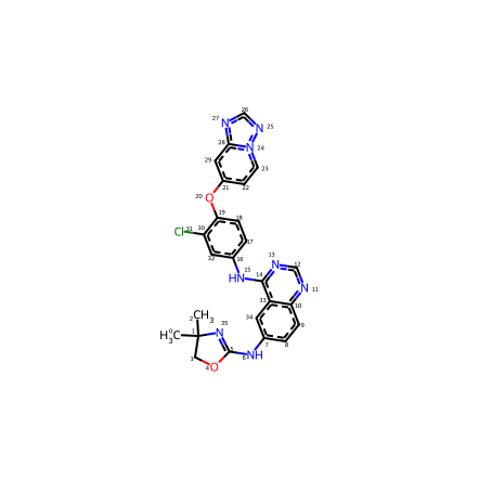 CC1(C)COC(Nc2ccc3ncnc(Nc4ccc(Oc5ccn6ncnc6c5)c(Cl)c4)c3c2)=N1